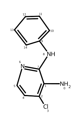 Nc1c(Cl)ccnc1Nc1ccccc1